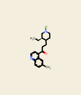 CC[C@H]1CN(Cl)CCC1CCC(=O)c1ccnc2ccc(C)cc12